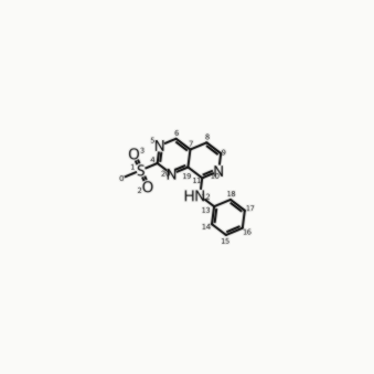 CS(=O)(=O)c1ncc2ccnc(Nc3ccccc3)c2n1